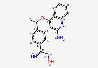 CC(Oc1cc(N)nc2ccccc12)c1ccc(C(=N)NO)cc1